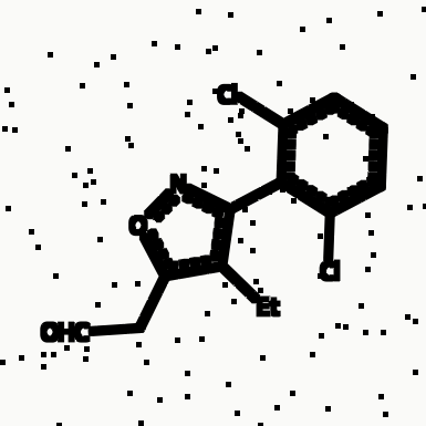 CCc1c(-c2c(Cl)cccc2Cl)noc1CC=O